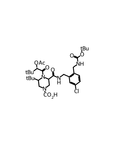 CC(=O)O[C@@H](C(=O)N1C(C(=O)NCc2cc(Cl)ccc2CNC(=O)OC(C)(C)C)CN(C(=O)O)CC1C(C)(C)C)C(C)(C)C